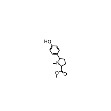 COC(=O)C1CCC(c2ccc(O)cc2)N1C